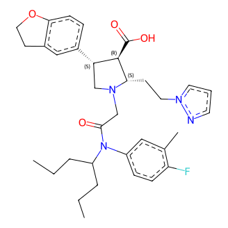 CCCC(CCC)N(C(=O)CN1C[C@H](c2ccc3c(c2)CCO3)[C@@H](C(=O)O)[C@@H]1CCn1cccn1)c1ccc(F)c(C)c1